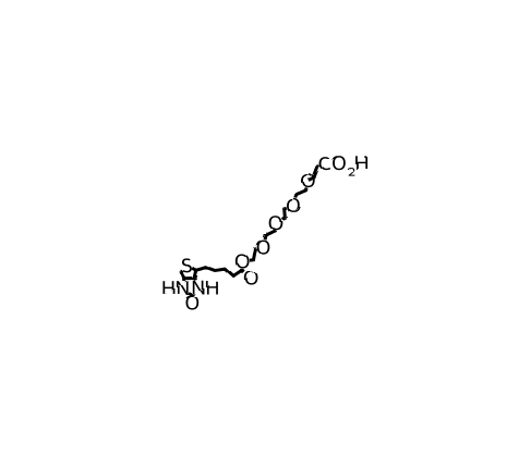 O=C(O)CCOCCOCCOCCOCCOC(=O)CCCCC1SCC2NC(=O)NC21